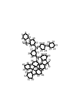 CC1(C)c2ccccc2-c2ccc(N(c3ccc(-c4ccccc4)cc3)c3cccc(N(c4ccc(C5(c6ccccc6)c6ccccc6-c6ccccc65)cc4)c4cccc5c4-c4ccccc4C5(C)C)c3)cc21